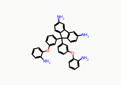 Nc1ccc2c(c1)-c1cc(N)ccc1C2(c1cccc(Oc2ccccc2N)c1)c1cccc(Oc2ccccc2N)c1